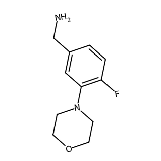 NCc1ccc(F)c(N2CCOCC2)c1